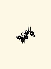 N#CC1(CNc2cccc(-c3cc(N[C@H]4CC[C@H](CI)CC4)ncc3Cl)n2)CCOCC1